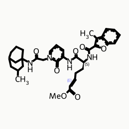 COC(=O)/C=C/CC[C@H](NC(=O)c1oc2ccccc2c1C)C(=O)Nc1cccn(CC(=O)NC23CCCC(CC(C)C2)C3)c1=O